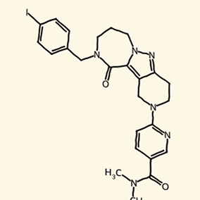 CN(C)C(=O)c1ccc(N2CCc3nn4c(c3C2)C(=O)N(Cc2ccc(I)cc2)CCC4)nc1